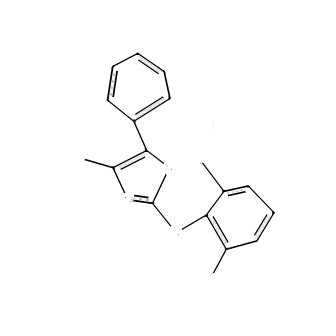 Cc1nc(Nc2c(Cl)cccc2Cl)[nH]c1-c1ccccc1.Cl